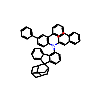 c1ccc(-c2ccc(N(c3ccc4ccccc4c3)c3cccc4c3-c3ccccc3C43C4CC5CC(C4)CC3C5)c(-c3ccccc3)c2)cc1